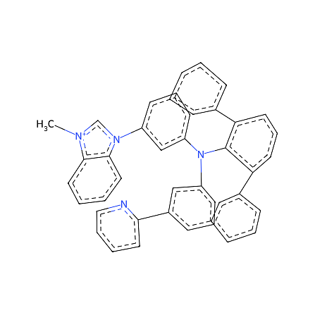 C[n+]1cn(-c2cccc(N(c3cccc(-c4ccccn4)c3)c3c(-c4ccccc4)cccc3-c3ccccc3)c2)c2ccccc21